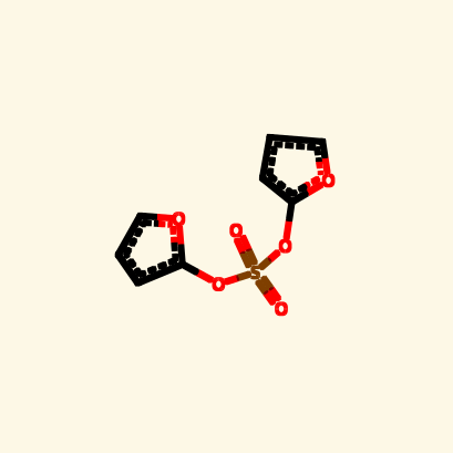 O=S(=O)(Oc1ccco1)Oc1ccco1